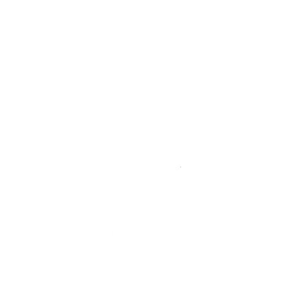 C=C(C)C(=O)OCC(O)COC(C)(C)OCC(O)COC(=O)C(=C)C